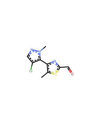 Cc1sc(C=O)nc1-c1c(Cl)cnn1C